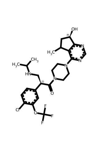 CC(C)NC[C@@H](C(=O)N1CCN(c2ncnc3c2C(C)C[C@H]3O)CC1)c1ccc(Cl)c(OC(F)(F)F)c1